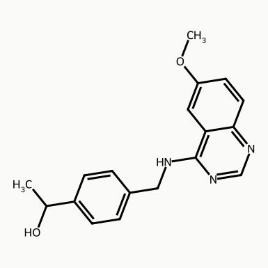 COc1ccc2ncnc(NCc3ccc(C(C)O)cc3)c2c1